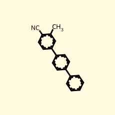 Cc1cc(-c2ccc(-c3ccccc3)cc2)ccc1C#N